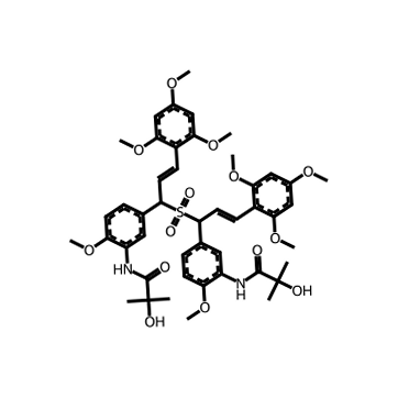 COc1cc(OC)c(C=CC(c2ccc(OC)c(NC(=O)C(C)(C)O)c2)S(=O)(=O)C(C=Cc2c(OC)cc(OC)cc2OC)c2ccc(OC)c(NC(=O)C(C)(C)O)c2)c(OC)c1